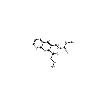 CC(C)(C)OC(=O)NNc1nc2ccccc2cc1C(=O)CCCl